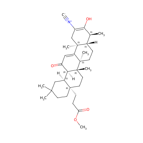 [C-]#[N+]C1=C(O)[C@@H](C)[C@@H]2CC[C@]3(C)C(=CC(=O)[C@@H]4[C@@H]5CC(C)(C)CC[C@]5(CCC(=O)OC)CC[C@]43C)[C@@]2(C)C1